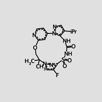 CC(C)c1cnn2c1NC(=O)NS(=O)(=O)c1nn(cc1F)C(C)(C)COc1cc-2ccn1